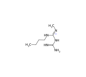 CCCCN/C(=N\C)NC(=N)N